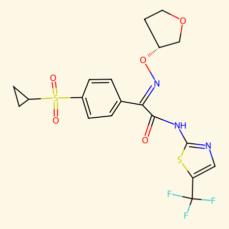 O=C(Nc1ncc(C(F)(F)F)s1)/C(=N/O[C@@H]1CCOC1)c1ccc(S(=O)(=O)C2CC2)cc1